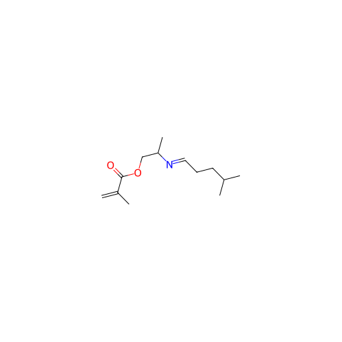 C=C(C)C(=O)OCC(C)N=CCCC(C)C